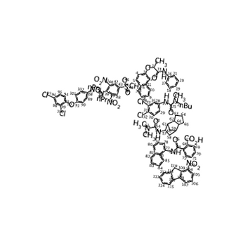 CC(Oc1ccc2ccccc2c1)C(=O)Nc1ccccc1.CCCCN(C)C(=O)Nc1ccc(Cl)c(Cl)c1.CCCN(CCC)c1c([N+](=O)[O-])cc(S(C)(=O)=O)cc1[N+](=O)[O-].CN(C)C(=O)NC1CC2CC1C1CCCC21.O=C(O)c1ccccc1C(=O)Nc1cccc2ccccc12.O=[N+]([O-])c1ccc(Oc2ccc(Cl)cc2Cl)cc1.O=[N+]([O-])c1cccc2c1Cc1ccccc1-2